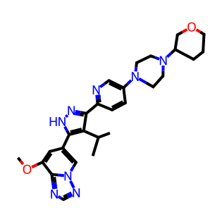 COc1cc(-c2[nH]nc(-c3ccc(N4CCN(C5CCCOC5)CC4)cn3)c2C(C)C)cn2ncnc12